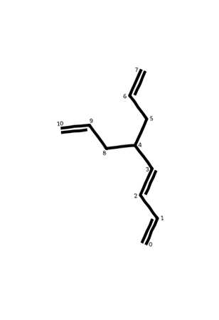 C=C/C=C/[C](CC=C)CC=C